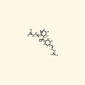 CN(C)CCSc1ccc(C(=O)c2cccnc2SCCN(C)C)cc1